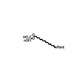 CCCCCC=CCC=CCC=CCC=CCCCC(=O)OC(CCCCCCCC)C(=O)O